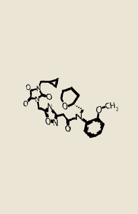 COc1ccccc1N(C[C@H]1CCCCO1)C(=O)Cc1noc(CN2C(=O)C(=O)N(CC3CC3)C2=O)n1